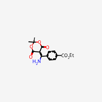 CCOC(=O)c1ccc(C(N)=C2C(=O)OC(C)(C)OC2=O)cc1